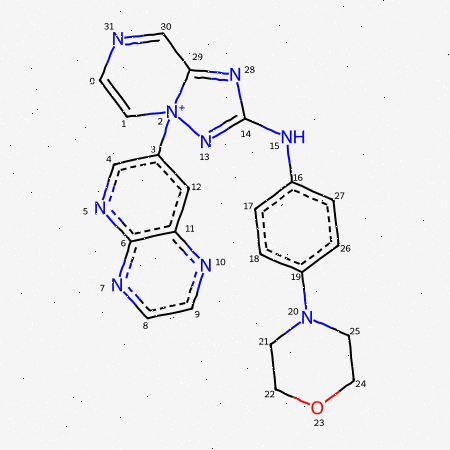 C1=C[N+]2(c3cnc4nccnc4c3)N=C(Nc3ccc(N4CCOCC4)cc3)N=C2C=N1